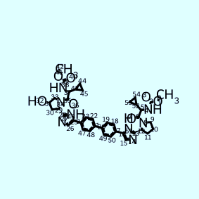 COC(=O)NC(C(=O)N1CCC[C@H]1c1ncc(-c2ccc(-c3ccc(-c4cnc([C@@H]5C[C@@H](O)CN5C(=O)[C@@H](NC(=O)OC)C5CC5)[nH]4)cc3)cc2)[nH]1)C1CC1